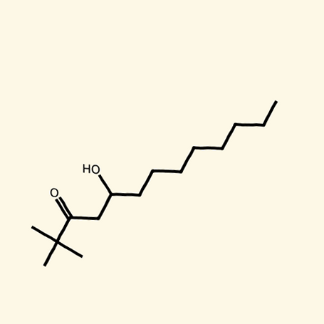 CCCCCCCCC(O)CC(=O)C(C)(C)C